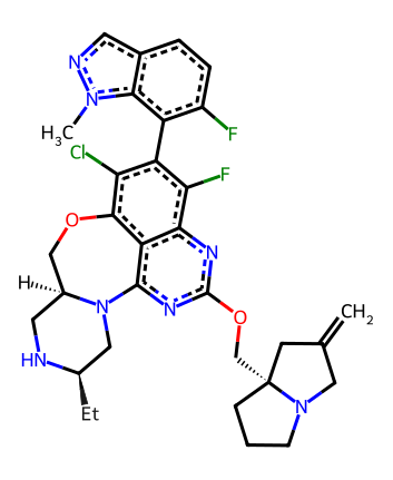 C=C1CN2CCC[C@@]2(COc2nc3c4c(c(Cl)c(-c5c(F)ccc6cnn(C)c56)c(F)c4n2)OC[C@@H]2CN[C@H](CC)CN32)C1